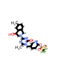 Cc1ccc2c(c1)C(O)CN(c1nc(C)n(Cc3ccc(OS(=O)(=O)C(F)(F)F)nc3)c(=O)n1)C2